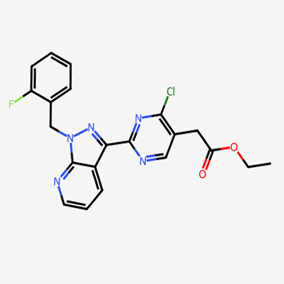 CCOC(=O)Cc1cnc(-c2nn(Cc3ccccc3F)c3ncccc23)nc1Cl